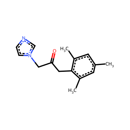 Cc1cc(C)c(CC(=O)Cn2ccnc2)c(C)c1